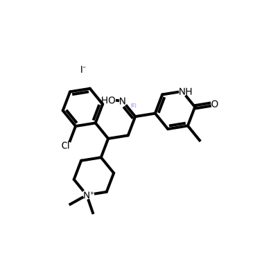 Cc1cc(/C(CC(c2ccccc2Cl)C2CC[N+](C)(C)CC2)=N/O)c[nH]c1=O.[I-]